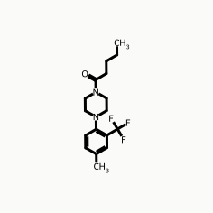 CCCCC(=O)N1CCN(c2ccc(C)cc2C(F)(F)F)CC1